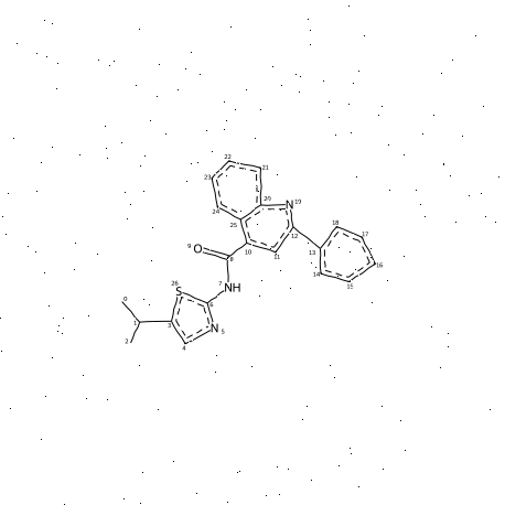 CC(C)c1cnc(NC(=O)c2cc(-c3ccccc3)nc3ccccc23)s1